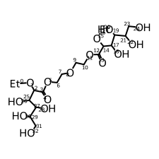 CCOC(C(=O)OCCOCCOC(=O)C(OCC)C(O)C(O)C(O)CO)C(O)C(O)C(O)CO